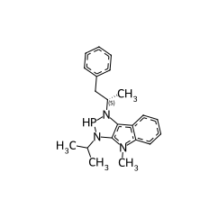 CC(C)N1PN([C@@H](C)Cc2ccccc2)c2c1n(C)c1ccccc21